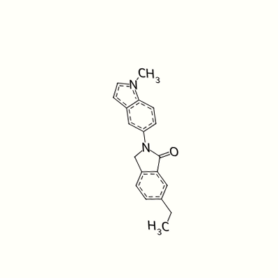 CCc1ccc2c(c1)C(=O)N(c1ccc3c(ccn3C)c1)C2